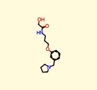 O=C(CO)NCCCOc1cccc(CN2CCCC2)c1